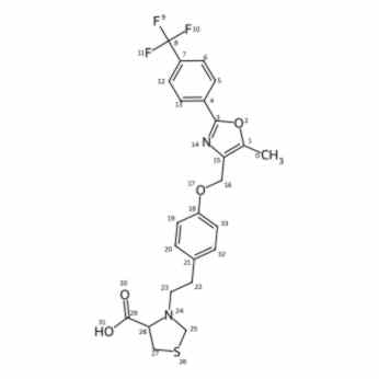 Cc1oc(-c2ccc(C(F)(F)F)cc2)nc1COc1ccc(CCN2CSCC2C(=O)O)cc1